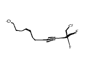 [O]CCCC#CC(F)(F)Cl